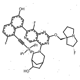 CC(C)[Si](C#Cc1c(F)ccc2cc(O)cc(-c3ncc4c(N5CC6CC(O)C(C6)C5)nc(OC[C@@]56CCCN5C[C@H](F)C6)nc4c3F)c12)(C(C)C)C(C)C